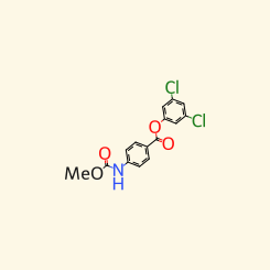 COC(=O)Nc1ccc(C(=O)Oc2cc(Cl)cc(Cl)c2)cc1